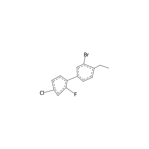 CCc1ccc(-c2ccc(Cl)cc2F)cc1Br